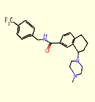 CN1CCN(C2CCCc3ccc(C(=O)NCc4ccc(C(F)(F)F)cc4)cc32)CC1